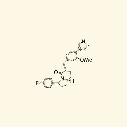 COc1cc(/C=C2\CC[C@@H]3CC[C@@H](c4ccc(F)cc4)N3C2=O)ccc1-n1cnc(C)c1